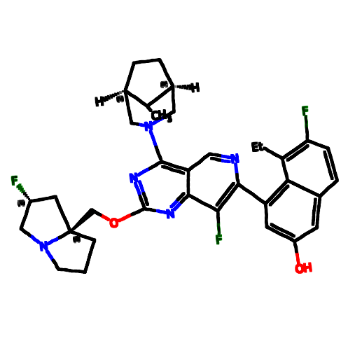 CCc1c(F)ccc2cc(O)cc(-c3ncc4c(N5C[C@H]6CC[C@@H](C5)C6C)nc(OC[C@@]56CCCN5C[C@H](F)C6)nc4c3F)c12